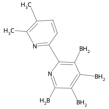 Bc1nc(-c2ccc(C)c(C)n2)c(B)c(B)c1B